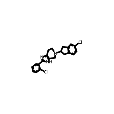 Clc1ccc2c(c1)CC(N1CCc3nc(-c4ccccc4Cl)[nH]c3C1)C2